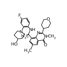 Cc1cc(C(C)Nc2ccc(F)cc2N2CCC(O)CC2)c2nc(C3CCOCC3)n(C)c(=O)c2c1